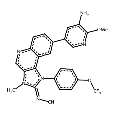 COc1ncc(-c2ccc3ncc4c(c3c2)n(-c2ccc(OC(F)(F)F)cc2)/c(=N\C#N)n4C)cc1N